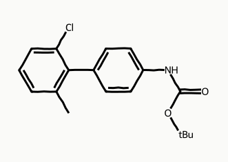 Cc1cccc(Cl)c1-c1ccc(NC(=O)OC(C)(C)C)cc1